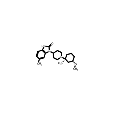 CO[C@@H]1CCC[C@](C)(N2CCC(n3c(=O)[nH]c4ccc(C)cc43)CC2)C1